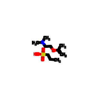 C=C(C)OCCN(C)C.CCCS(=O)(=O)O